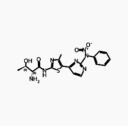 Cc1nc(NC(=O)[C@H](N)[C@@H](C)O)sc1-c1ccnc(N(c2ccccc2)[N+](=O)[O-])n1